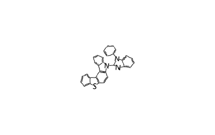 c1ccc(-n2c(-n3c4ccccc4c4c5c(ccc43)sc3ccccc35)nc3ccccc32)cc1